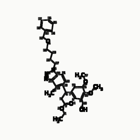 CCOC(=O)CC(c1cc(CO)c(OC)c(OC)c1)c1ccc2c(nnn2CCCCOCc2ccccc2)c1C